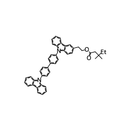 CCC(C)(C)CC(=O)OCCc1ccc2c(c1)c1ccccc1n2-c1ccc(-c2ccc(-n3c4ccccc4c4ccccc43)cc2)cc1